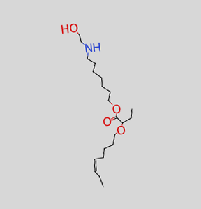 CC/C=C\CCCCOC(CC)C(=O)OCCCCCCCNCCO